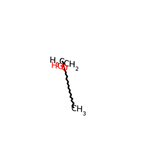 [CH2]C(C)C(O)OCCCCCCCCCCCCCCCCCC